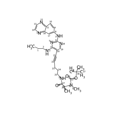 CCCNc1nc(Nc2ccc3nccnc3c2)ncc1C#CCCCNC(=O)[C@H](C)N(C)C(=O)OC(C)(C)C